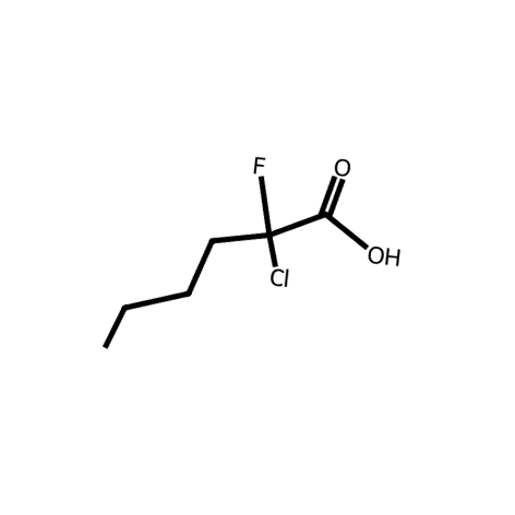 CCCCC(F)(Cl)C(=O)O